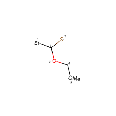 CCC([S])OCOC